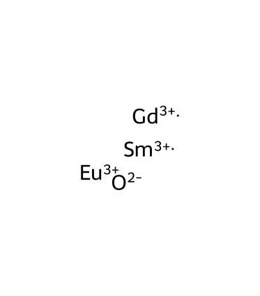 [Eu+3].[Gd+3].[O-2].[Sm+3]